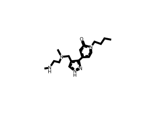 CCCCn1ccc(-c2n[nH]cc2CN(C)CCNC)cc1=O